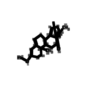 CCOC1=CC2=CCC3=C(CCC45C(=O)CC[C@]4(C)CC=C35)C2(C)CC1